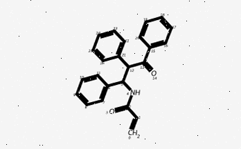 C=CC(=O)NC(c1ccccc1)C(C(=O)c1ccccc1)c1ccccc1